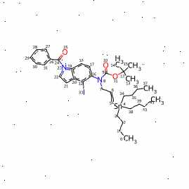 CCC[CH2][Sn]([CH]=CCN(C(=O)OC(C)(C)C)c1ccc2c(ccn2C(=O)c2ccccc2)c1I)([CH2]CCC)[CH2]CCC